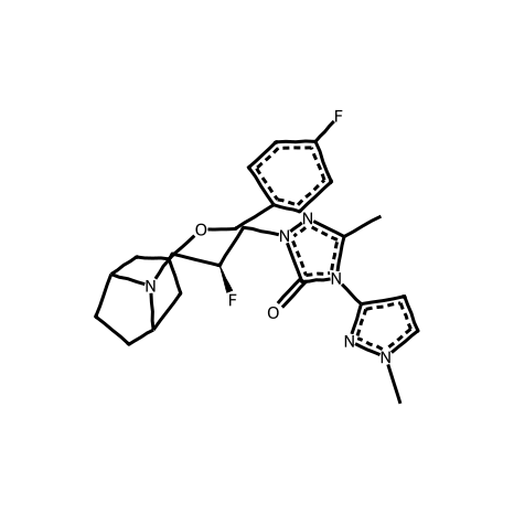 Cc1nn(C[C@@H](F)CN2C3CCC2CC(OCc2ccc(F)cc2)C3)c(=O)n1-c1ccn(C)n1